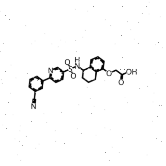 N#Cc1cccc(-c2ccc(S(=O)(=O)NC3CCCc4c(OCC(=O)O)cccc43)cn2)c1